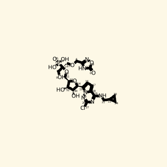 O=c1[nH]c(COC[C@@](CO)(OC[C@H]2O[C@@H](c3ccc4c(NCC5CC5)nc(Cl)nn34)[C@H](O)[C@@H]2O)P(=O)(O)O)no1